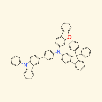 c1ccc(-n2c3ccccc3c3cc(-c4ccc(N(c5ccc6c(c5)C(c5ccccc5)(c5ccccc5)c5ccccc5-6)c5ccc6c(c5)oc5ccccc56)cc4)ccc32)cc1